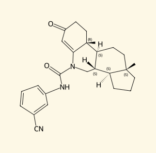 C[C@@]12CCC[C@H]1[C@@H]1CN(C(=O)Nc3cccc(C#N)c3)C3=CC(=O)CC[C@]3(C)[C@H]1CC2